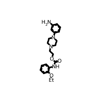 CCOc1ccccc1NC(=O)OCCN1CCN(c2cccc(N)c2)CC1